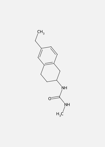 CCc1ccc2c(c1)CCC(NC(=O)NC)C2